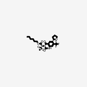 CCCCCCOC(=O)N(n1c(=O)[nH]c2cc(C(F)(F)F)c([C@H]3CCCO3)cc2c1=O)S(C)(=O)=O